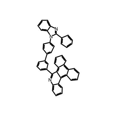 c1ccc(-c2nc3ccccc3n2-c2ccc(-c3cccc(-c4nc5ccccc5c5c6ccccc6c6ccccc6c45)c3)cc2)cc1